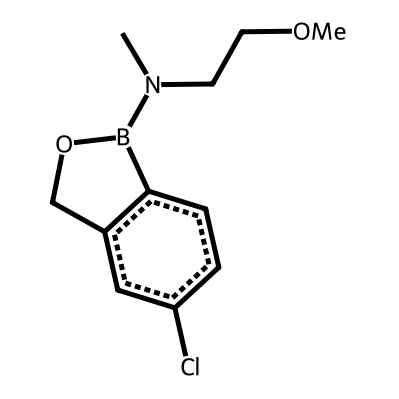 COCCN(C)B1OCc2cc(Cl)ccc21